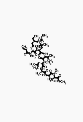 CCCC(=O)N(C)[C@H](SCCN(CC)CC)C(=O)N(C)[C@@H](CC(C)(C)OCSC)C(=O)N[C@H](C(=O)N(C)[C@@H](CC(C)C)C(=O)N[C@@H](C)C(=O)N[C@H](C)C(=O)N(C)[C@H](C)C(=O)NC)C(C)C